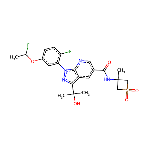 CC(F)Oc1ccc(F)c(-n2nc(C(C)(C)O)c3cc(C(=O)NC4(C)CS(=O)(=O)C4)cnc32)c1